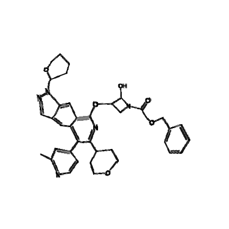 Cc1cc(-c2c(C3CCOCC3)nc(OC3CN(C(=O)OCc4ccccc4)C3O)c3cc4c(cnn4C4CCCCO4)cc23)ccn1